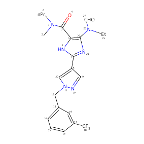 CCCN(C)C(=O)c1[nH]c(-c2cnn(Cc3cccc(C(F)(F)F)c3)c2)nc1N(C=O)CC